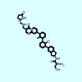 Cc1c(-c2ccn3c(=O)c(CNC[C@H]4CCC(=O)N4)cnc3c2)cccc1-c1cccc(-c2ccc3c(c2)C[C@H](NC(=O)[C@@H](N)CO)C3)c1Cl